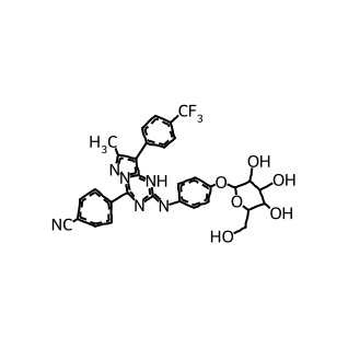 Cc1nn2c(-c3ccc(C#N)cc3)n/c(=N/c3ccc(OC4OC(CO)C(O)C(O)C4O)cc3)[nH]c2c1-c1ccc(C(F)(F)F)cc1